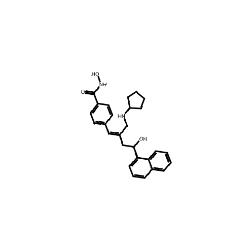 O=C(NO)c1ccc(C=C(CNC2CCCC2)CC(O)c2cccc3ccccc23)cc1